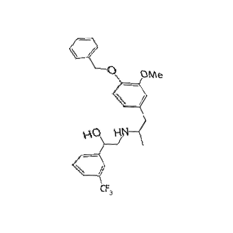 COc1cc(CC(C)NCC(O)c2cccc(C(F)(F)F)c2)ccc1OCc1ccccc1